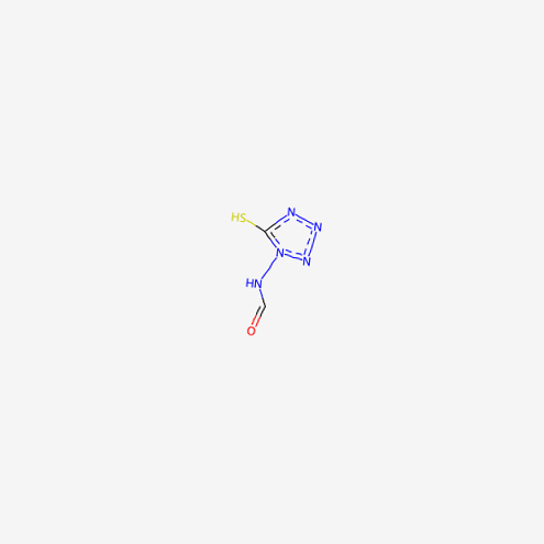 O=CNn1nnnc1S